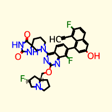 C#Cc1c(F)ccc2cc(O)cc(-c3ccc4c(N5CCCC6(C5)NC(=O)NC6=O)nc(OC[C@@]56CCCN5C[C@H](F)C6)nc4c3F)c12